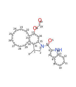 CC1CN(C(=O)c2cc3ccccc3[nH]2)c2cc(OC=O)c3ccccccccc3c21